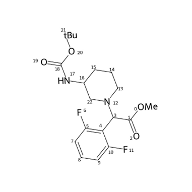 COC(=O)C(c1c(F)cccc1F)N1CCCC(NC(=O)OC(C)(C)C)C1